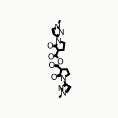 Cn1ccc(N2CCC(C(=O)OC(=O)C3CCN(c4ccn(C)n4)C3=O)C2=O)n1